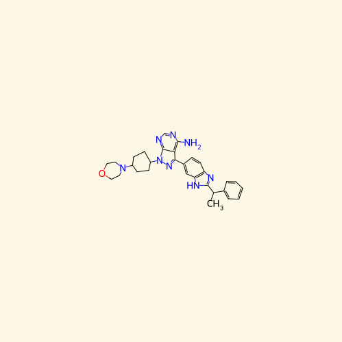 CC(c1ccccc1)c1nc2ccc(-c3nn(C4CCC(N5CCOCC5)CC4)c4ncnc(N)c34)cc2[nH]1